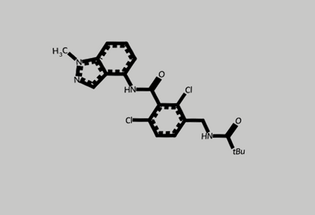 Cn1ncc2c(NC(=O)c3c(Cl)ccc(CNC(=O)C(C)(C)C)c3Cl)cccc21